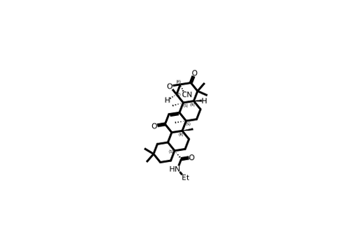 CCNC(=O)[C@]12CCC(C)(C)CC1C1C(=O)C=C3[C@@]4(C)[C@H]5O[C@@]5(C#N)C(=O)C(C)(C)[C@@H]4CC[C@@]3(C)[C@]1(C)CC2